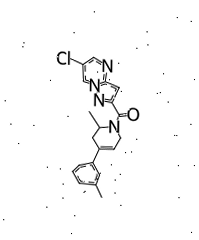 Cc1cccc(C2=CCN(C(=O)c3cc4ncc(Cl)cn4n3)C(C)C2)c1